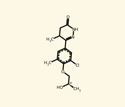 Cc1cc(C2=NNC(=O)CC2C)cc(Cl)c1OC[C@@H](C)O